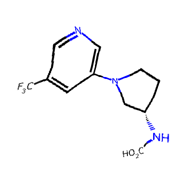 O=C(O)N[C@H]1CCN(c2cncc(C(F)(F)F)c2)C1